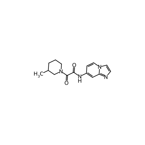 CC1CCCN(C(=O)C(=O)Nc2ccn3ccnc3c2)C1